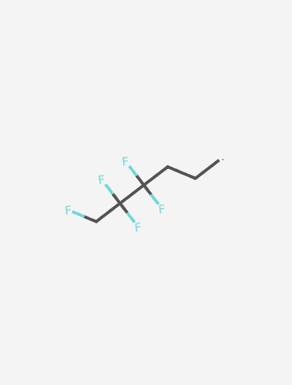 [CH2]CCC(F)(F)C(F)(F)CF